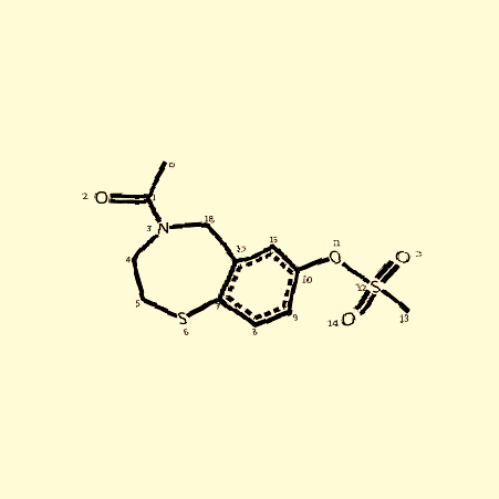 CC(=O)N1CCSc2ccc(OS(C)(=O)=O)cc2C1